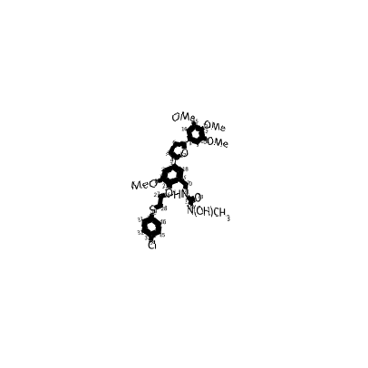 COc1cc([C@@H]2CC[C@H](c3cc(OC)c(OC)c(OC)c3)O2)cc(CNC(=O)N(C)O)c1OCCSc1ccc(Cl)cc1